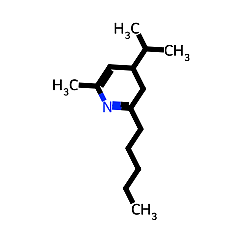 CCCCCC1=NC(C)=CC(C(C)C)C1